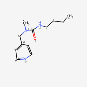 CCCCNC(=O)N(C)Cc1ccncc1